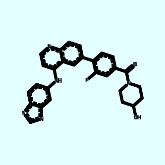 O=C(c1ccc(-c2ccc3nccc(Nc4ccc5scnc5c4)c3c2)c(F)c1)N1CCC(O)CC1